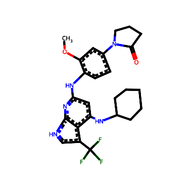 COc1cc(N2CCCC2=O)ccc1Nc1cc(NC2CCCCC2)c2c(C(F)(F)F)c[nH]c2n1